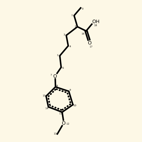 CCC(CCCCOc1ccc(OC)cc1)C(=O)O